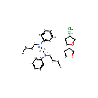 C1CCOC1.C1CCOC1.CCCC[N]([Ti+2][N](CCCC)c1ccccc1)c1ccccc1.[Cl-].[Cl-]